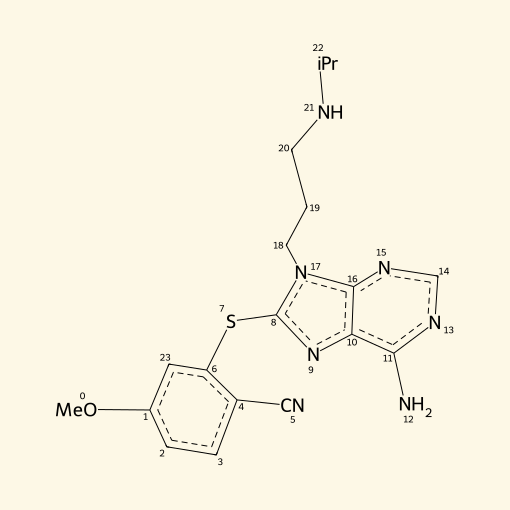 COc1ccc(C#N)c(Sc2nc3c(N)ncnc3n2CCCNC(C)C)c1